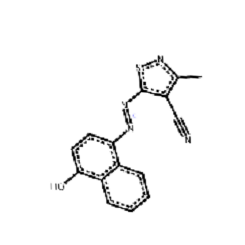 Cc1nsc(/N=N/c2ccc(O)c3ccccc23)c1C#N